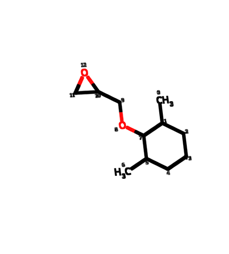 CC1C[CH]CC(C)C1OCC1CO1